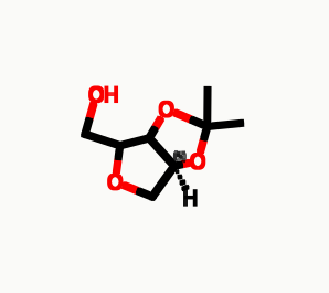 CC1(C)OC2C(CO)OC[C@@H]2O1